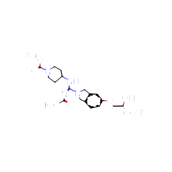 CCOC(=O)[C@H](O)COc1ccc2c(c1)CN(/C(=N\C(=O)C(F)(F)F)NC1CCN(C(=O)OC(C)(C)C)CC1)C2